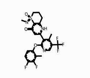 CN=S1(=O)CCCc2[nH]c(-c3c(Oc4ccc(F)c(F)c4C)ncc(C(F)(F)F)c3C)cc(=O)c21